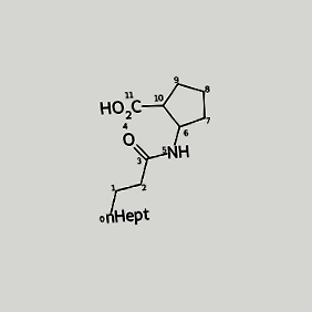 CCCCCCCCCC(=O)NC1CCCC1C(=O)O